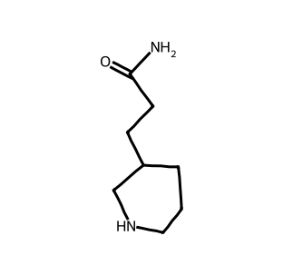 NC(=O)CCC1CCCNC1